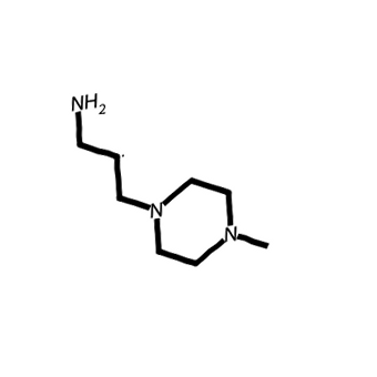 CN1CCN(C[CH]CN)CC1